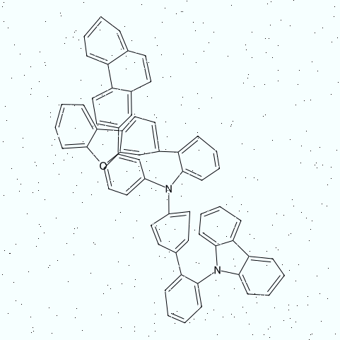 c1cc(-c2ccc3c(ccc4ccccc43)c2)cc(N(c2ccc(-c3ccccc3-n3c4ccccc4c4ccccc43)cc2)c2ccccc2-c2ccc3c(c2)oc2ccccc23)c1